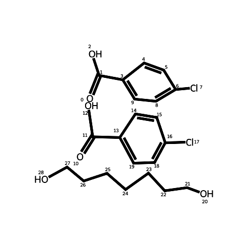 O=C(O)c1ccc(Cl)cc1.O=C(O)c1ccc(Cl)cc1.OCCCCCCCO